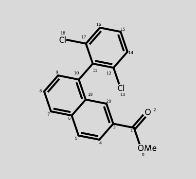 COC(=O)c1ccc2cccc(-c3c(Cl)cccc3Cl)c2c1